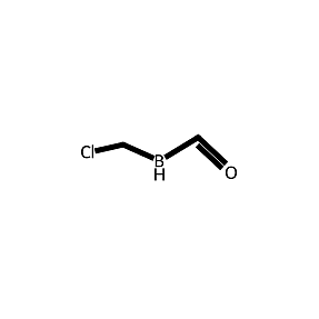 O=CBCCl